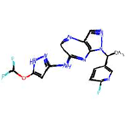 CC(c1ccc(F)nc1)n1ncc2ncc(Nc3cc(OC(F)F)[nH]n3)nc21